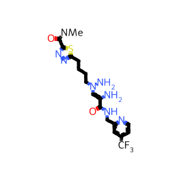 CNC(=O)c1nnc(CCCCN(N)/C=C(\N)C(=O)NCc2cc(C(F)(F)F)ccn2)s1